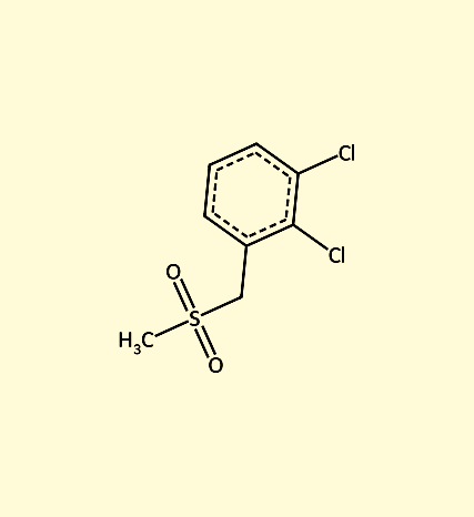 CS(=O)(=O)Cc1cccc(Cl)c1Cl